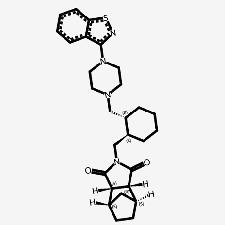 O=C1[C@@H]2[C@H]3CC[C@@H](C3)[C@@H]2C(=O)N1C[C@@H]1CCCC[C@H]1CN1CCN(c2nsc3ccccc23)CC1